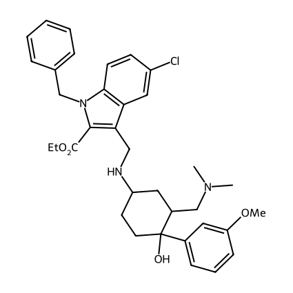 CCOC(=O)c1c(CNC2CCC(O)(c3cccc(OC)c3)C(CN(C)C)C2)c2cc(Cl)ccc2n1Cc1ccccc1